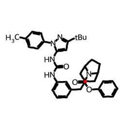 Cc1ccc(-n2nc(C(C)(C)C)cc2NC(=O)Nc2cccc(CC3CC4CCC(C3)N4C(=O)Oc3ccccc3)c2)cc1